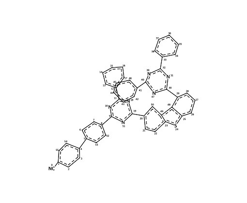 N#Cc1ccc(-c2ccc(-c3nc(-c4ccccc4)nc(-c4ccc5sc6cccc(-c7nc(-c8ccccc8)nc(-c8ccccc8)n7)c6c5c4)n3)cc2)cc1